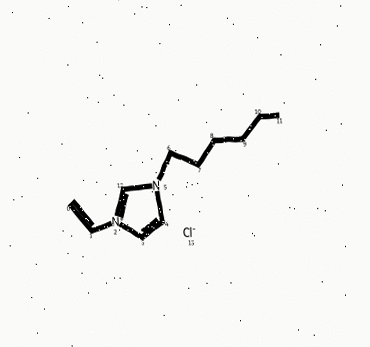 C=C[n+]1ccn(CCCCCC)c1.[Cl-]